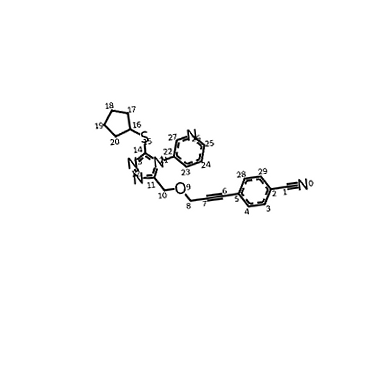 N#Cc1ccc(C#CCOCc2nnc(SC3CCCC3)n2-c2cccnc2)cc1